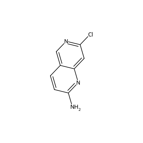 Nc1ccc2cnc(Cl)cc2n1